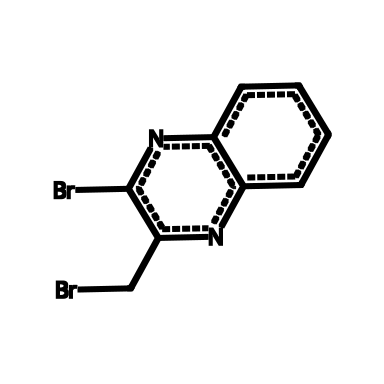 BrCc1nc2ccccc2nc1Br